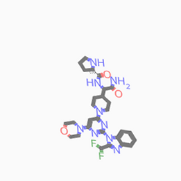 NC(=O)C(NC(=O)[C@@H]1CCCN1)C1CCN(c2cc(N3CCOCC3)nc(-n3c(C(F)F)nc4ccccc43)n2)CC1